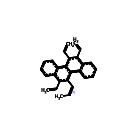 C=Cc1c(/C=C\C)c2c3ccccc3c(C=C)c(C=C)c2c2ccccc12